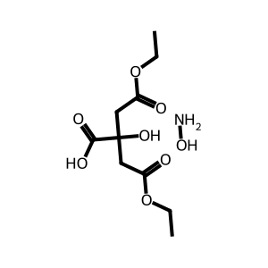 CCOC(=O)CC(O)(CC(=O)OCC)C(=O)O.NO